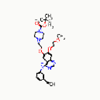 C#Cc1cccc(Nc2ncnc3cc(OCCOC)c(OCCN4CCN(C(=O)OC(C)(C)C)CC4)cc23)c1